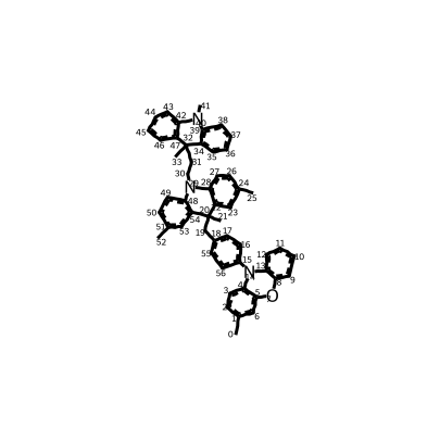 Cc1ccc2c(c1)Oc1ccccc1N2c1ccc(CC2(C)c3cc(C)ccc3N(CCC3(C)c4ccccc4N(C)c4ccccc43)c3ccc(C)cc32)cc1